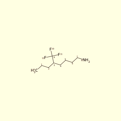 CCCC(CCCCN)C(F)(F)F